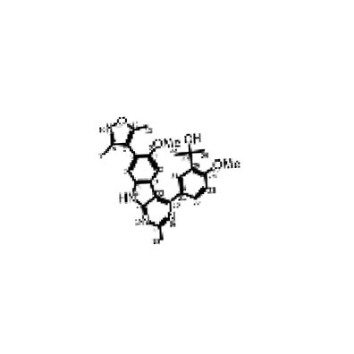 COc1cc2c(cc1-c1c(C)noc1C)[nH]c1nc(C)nc(-c3ccc(OC)c(C(C)(C)O)c3)c12